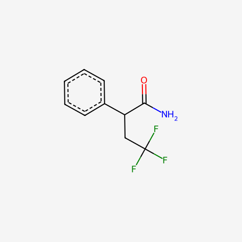 NC(=O)C(CC(F)(F)F)c1ccccc1